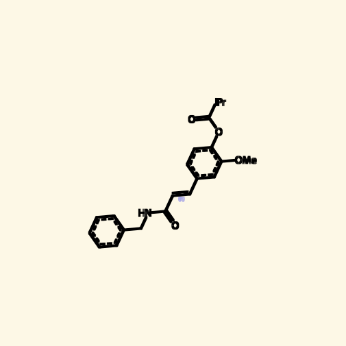 COc1cc(/C=C/C(=O)NCc2ccccc2)ccc1OC(=O)C(C)C